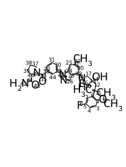 COc1ccc(F)cc1C(C)(C)CC(O)(CF)CNc1cc(C)cc2c1cnn2-c1cccc(C(=O)N2CCC[C@@H]2C(N)=O)c1